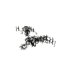 CC(C)(C)OC(=O)N[C@@H]1C[C@H]1NS(=O)(=O)N1C[C@H](CCCB2OC(C)(C)C(C)(C)O2)C(N=[N+]=[N-])(C(=O)OCc2ccccc2)C1